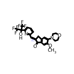 COc1cc2c(cc1N1CCOCC1)C/C(=C\c1cccc(C(O)(C(F)(F)F)C(F)(F)F)n1)C2=O